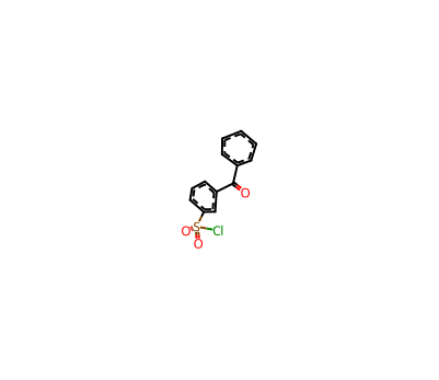 O=C(c1ccccc1)c1cccc(S(=O)(=O)Cl)c1